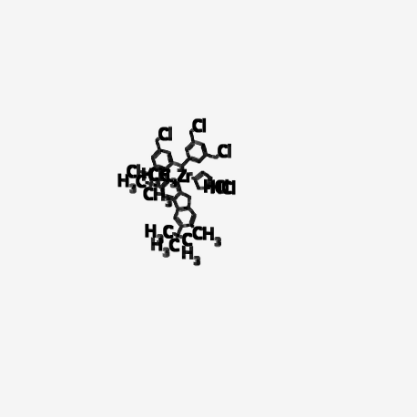 Cc1cc2c(cc1C(C)(C)C)-c1cc(C(C)(C)C)c(C)[c]([Zr]([C]3=CC=CC3)=[C](c3cc(CCl)cc(CCl)c3)c3cc(CCl)cc(CCl)c3)c1C2.Cl.Cl